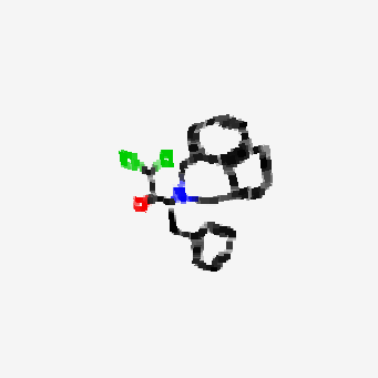 O=C(C(Cl)Cl)[C@H](Cc1ccccc1)N(Cc1ccccc1)Cc1ccccc1